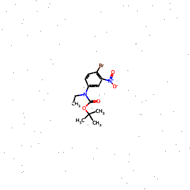 CCN(C(=O)OC(C)(C)C)c1ccc(Br)c([N+](=O)[O-])c1